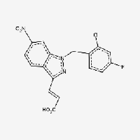 O=C(O)/C=C/c1nn(Cc2ccc(F)cc2Cl)c2cc([N+](=O)[O-])ccc12